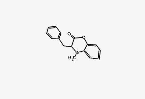 CN1c2ccccc2OC(=O)C1Cc1ccccc1